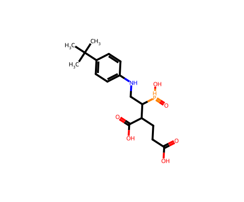 CC(C)(C)c1ccc(NCC(C(CCC(=O)O)C(=O)O)[PH](=O)O)cc1